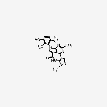 Cc1nc2c3c(cn(-c4c(C)ccc(O)c4C)c3n1)C(=O)Nc1c-2cnn1C